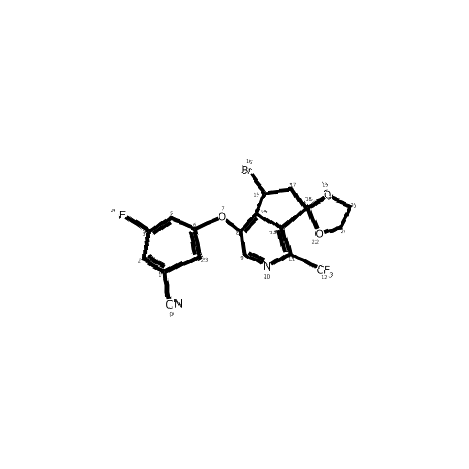 N#Cc1cc(F)cc(Oc2cnc(C(F)(F)F)c3c2C(Br)CC32OCCO2)c1